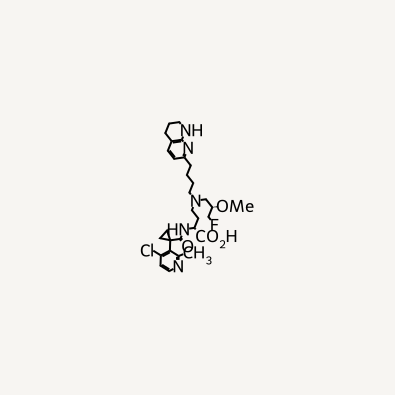 CO[C@H](CF)CN(CCCCc1ccc2c(n1)NCCC2)CC[C@H](NC(=O)C1(c2c(Cl)ccnc2C)CC1)C(=O)O